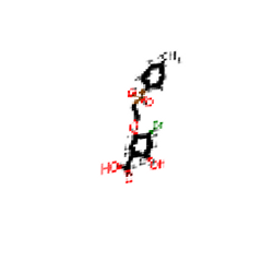 Cc1ccc(S(=O)(=O)CCOc2cc(C(=O)O)c(O)cc2Br)cc1